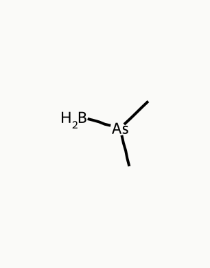 B[As](C)C